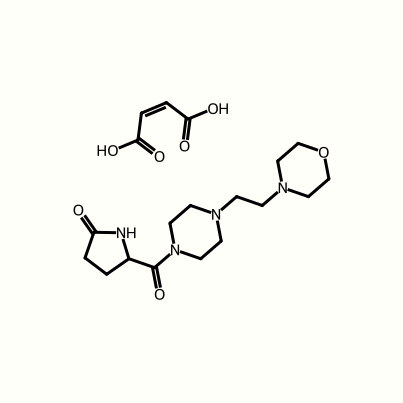 O=C(O)/C=C\C(=O)O.O=C1CCC(C(=O)N2CCN(CCN3CCOCC3)CC2)N1